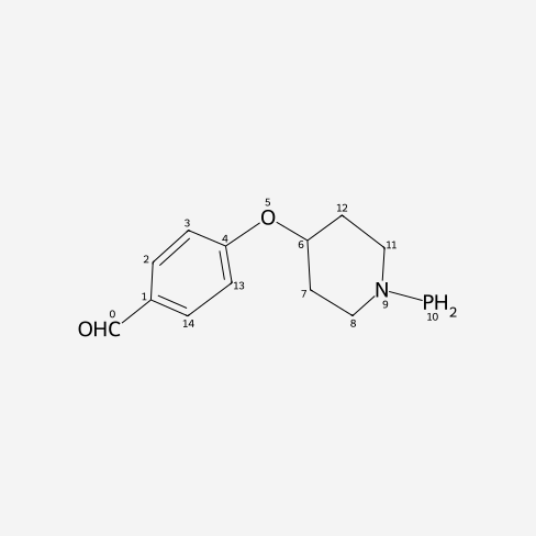 O=Cc1ccc(OC2CCN(P)CC2)cc1